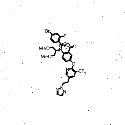 COCC(COC)N(C(=O)c1ccc(Br)cc1F)c1ccc(Oc2ncc(CCn3nccn3)cc2C(F)(F)F)cc1C(=O)OC